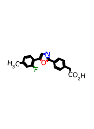 Cc1ccc(-c2cnc(-c3ccc(CC(=O)O)cc3)o2)c(F)c1